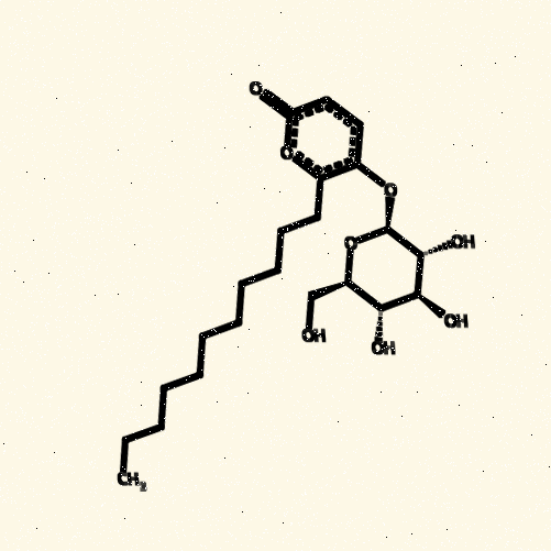 CCCCCCCCCCCc1oc(=O)ccc1O[C@@H]1O[C@H](CO)[C@@H](O)[C@H](O)[C@H]1O